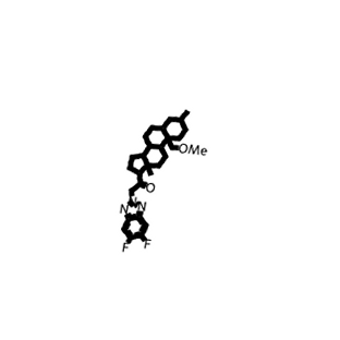 COCC12CCC(C)CC1CCC1C3CCC(C(=O)Cn4nc5cc(F)c(F)cc5n4)C3(C)CCC12